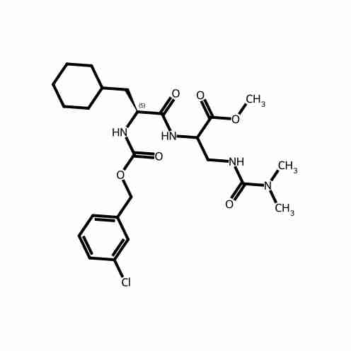 COC(=O)C(CNC(=O)N(C)C)NC(=O)[C@H](CC1CCCCC1)NC(=O)OCc1cccc(Cl)c1